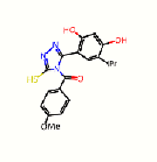 COc1ccc(C(=O)n2c(S)nnc2-c2cc(C(C)C)c(O)cc2O)cc1